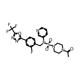 CC(=O)N1CCN(S(=O)(=O)N(Cc2ccc(-c3nnc(C(F)(F)F)o3)cc2F)c2cccnc2)CC1